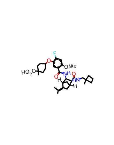 COc1cc(F)c(OC2CCC(C)(C(=O)O)CC2)cc1C(=O)N[C@H]1[C@@H](C(=O)NCC2(C)CCC2)[C@@H]2CC(=C(C)C)[C@H]1C2